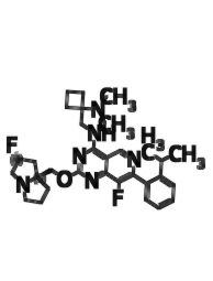 CC(C)c1ccccc1-c1ncc2c(NCC3(N(C)C)CCC3)nc(OC[C@@]34CCCN3C[C@H](F)C4)nc2c1F